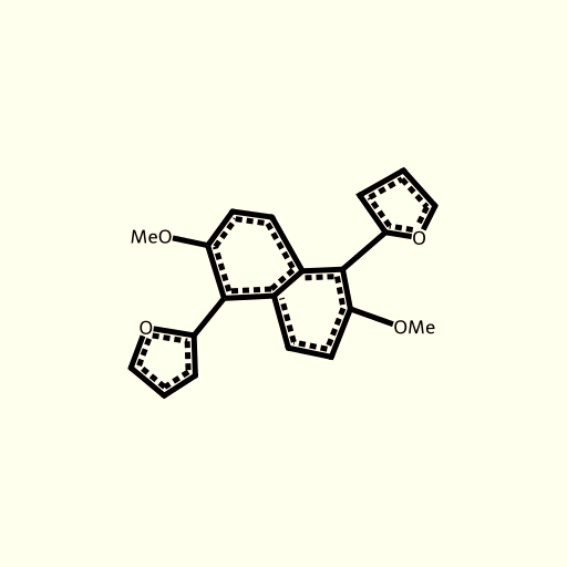 COc1ccc2c(-c3ccco3)c(OC)ccc2c1-c1ccco1